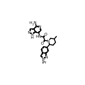 CC1CCC(c2ccc3cn(C(C)C)nc3c2)N(C(=O)C(=O)Nc2cnc(N)c3cn[nH]c23)C1